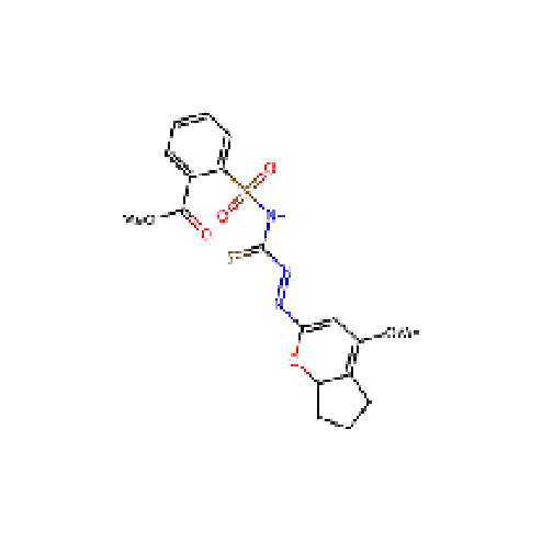 COC(=O)c1ccccc1S(=O)(=O)NC(=S)N=NC1=CC(OC)=C2CCCC2O1